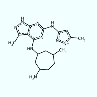 Cc1cc(Nc2nc(NC3CC(C)CCC(N)C3)c3c(C)n[nH]c3n2)n[nH]1